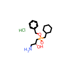 Cl.NC[C@@H](O)CP(=O)(CC1CCCCC1)OCc1ccccc1